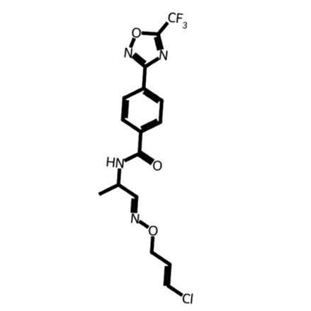 CC(C=NOCC=CCl)NC(=O)c1ccc(-c2noc(C(F)(F)F)n2)cc1